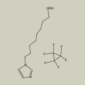 CCCCCCCCCCCCCCCCCCn1ccnc1.FC1(F)C(F)(F)C1(F)F